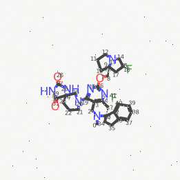 CN1Cc2c(nc(OC[C@@]34CCCN3C[C@H](F)C4)nc2N2CCC[C@]3(C2)NC(=O)NC3=O)C[C@]12CCc1cccc(F)c12